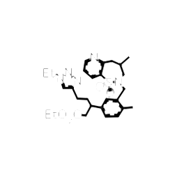 CCOC(=O)CC(CCc1cn(CC)nn1)c1ccc(C)c(CN2CC(C)Cc3ncccc3S2(=O)=O)c1